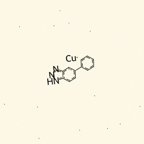 [Cu].c1ccc(-c2ccc3[nH]nnc3c2)cc1